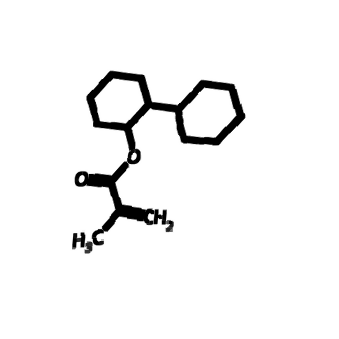 C=C(C)C(=O)OC1CCCCC1C1CCCCC1